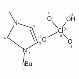 CCCCN1C=CN(C)C1.[O-][Cl+3]([O-])([O-])O